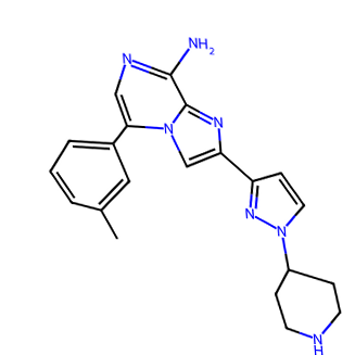 Cc1cccc(-c2cnc(N)c3nc(-c4ccn(C5CCNCC5)n4)cn23)c1